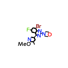 COc1ncc(-c2nc(N3CCOCC3)nc3c(Br)cc(F)cc23)cc1C